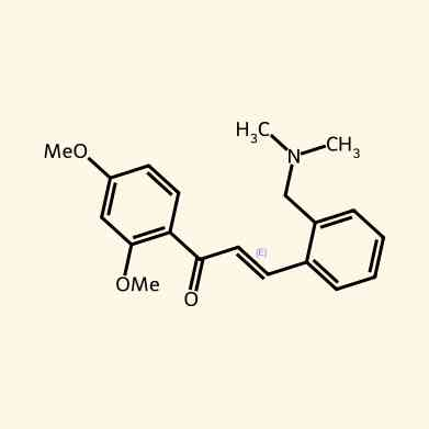 COc1ccc(C(=O)/C=C/c2ccccc2CN(C)C)c(OC)c1